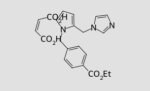 CCOC(=O)c1ccc(Cn2cccc2Cn2ccnc2)cc1.O=C(O)/C=C\C(=O)O